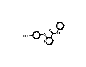 O=C(O)c1ccc(Oc2ncccc2C(=O)Nc2ccccc2)cc1